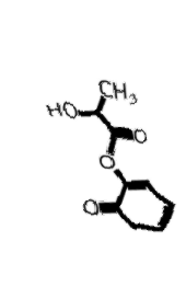 CC(O)C(=O)OC1=CC=CCC1=O